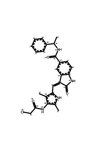 Cc1[nH]c(/C=C2\C(=O)Nc3ccc(C(=O)NC(C)c4ccccc4)cc32)c(C)c1NC(=O)CCl